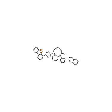 C=C1/C=C\C=C/C/C(c2ccc(-c3cccc4c3sc3ccccc34)cc2)=c2/cccc/c2=C/1c1cccc(-c2ccc3ccccc3c2)c1